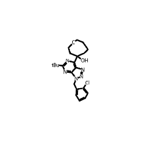 CC(C)(C)c1nc(C2(O)CCCCCCC2)c2nnn(Cc3ccccc3Cl)c2n1